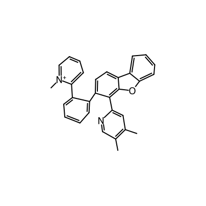 Cc1cnc(-c2c(-c3ccccc3-c3cccc[n+]3C)ccc3c2oc2ccccc23)cc1C